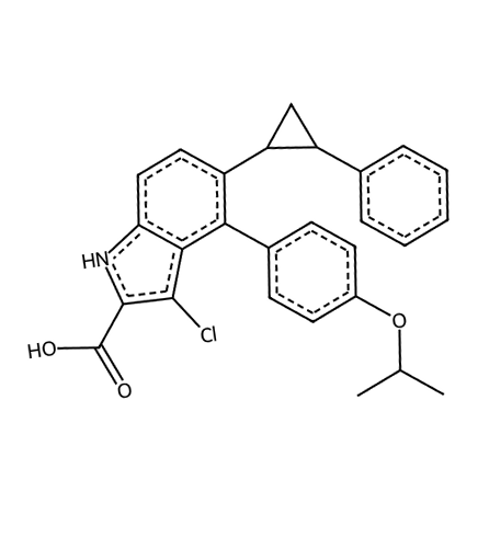 CC(C)Oc1ccc(-c2c(C3CC3c3ccccc3)ccc3[nH]c(C(=O)O)c(Cl)c23)cc1